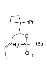 CCCC1(C(C/C=C/I)O[Si](C)(C)C(C)(C)C)CCC1